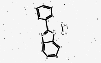 CO.c1ccc(-c2nc3ccccc3o2)cc1